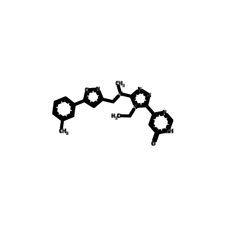 CCn1c(-c2cc(=O)[nH]cn2)nnc1N(C)Cc1cc(-c2cccc(C)c2)on1